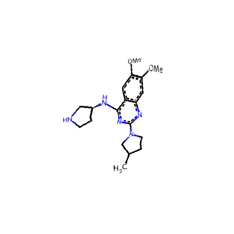 COc1cc2nc(N3CCC(C)C3)nc(N[C@H]3CCNC3)c2cc1OC